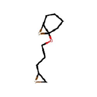 C(COC12CCCCC1S2)CC1CS1